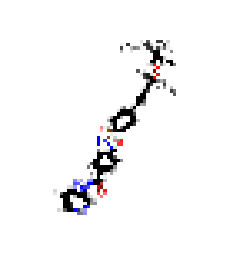 CCC(C)(C#Cc1ccc(S(=O)(=O)NCc2ccc(C(=O)Nc3cccnc3)cc2)cc1)OCC(C)(C)NC